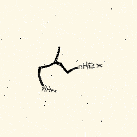 CCCCCCC[C](C)CCCCCCC